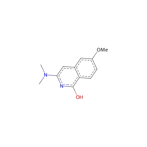 COc1ccc2c(O)nc(N(C)C)cc2c1